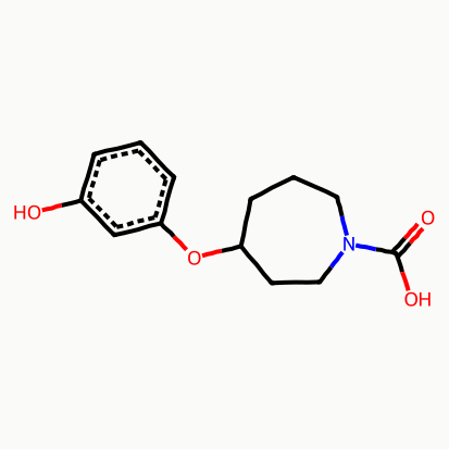 O=C(O)N1CCCC(Oc2cccc(O)c2)CC1